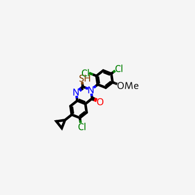 COc1cc(-n2c(S)nc3cc(C4CC4)c(Cl)cc3c2=O)c(Cl)cc1Cl